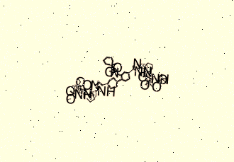 COC(=O)N[C@H](C(=O)N1CCC[C@H]1c1ncc(-c2ccc3c4ccc(-c5cnc([C@@H]6CCCN6C(=O)[C@@H](NC(=O)OC)[C@@H](C)OC)[nH]5)cc4n(S(=O)(=O)c4ccccc4)c3c2)[nH]1)[C@@H](C)OC